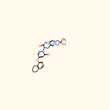 CC(C)(O)Cn1ccc(CC(C(N)=O)n2ncc(Oc3cccc4c3CCCC4)cc2=O)n1